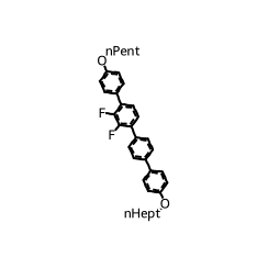 CCCCCCCOc1ccc(-c2ccc(-c3ccc(-c4ccc(OCCCCC)cc4)c(F)c3F)cc2)cc1